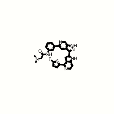 CN(C)CC(=O)Nc1cccc(-c2cc3c(-c4cc5c(-c6ccc(F)s6)nccc5[nH]4)n[nH]c3cn2)c1